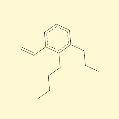 C=Cc1cccc(CCC)c1CCCC